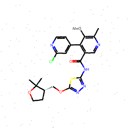 COc1c(C)ncc(C(=O)Nc2nnc(OC[C@@H]3CCOC3(C)C)s2)c1-c1ccnc(Cl)c1